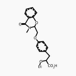 CCOC(Cc1ccc(OCC2Oc3ccccc3C(=O)N2C)cc1)C(=O)O